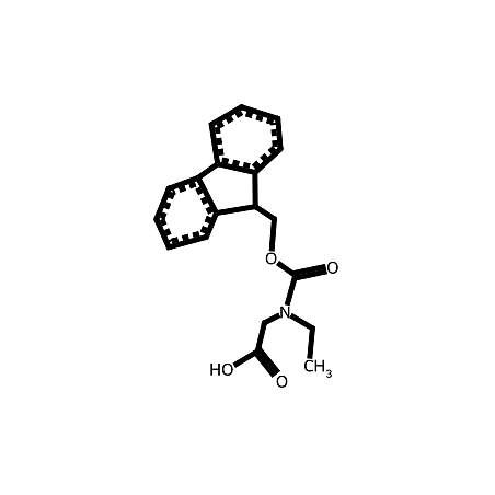 CCN(CC(=O)O)C(=O)OCC1c2ccccc2-c2ccccc21